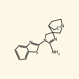 NC1=NC2(CN3CCC2CC3)CN1c1nc2ccccc2s1